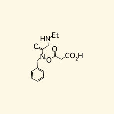 CCNCC(=O)N(Cc1ccccc1)OC(=O)CC(=O)O